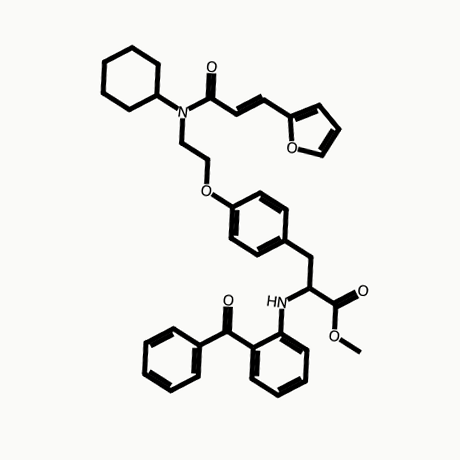 COC(=O)C(Cc1ccc(OCCN(C(=O)C=Cc2ccco2)C2CCCCC2)cc1)Nc1ccccc1C(=O)c1ccccc1